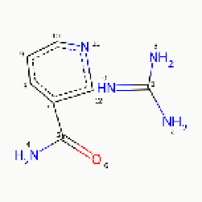 N=C(N)N.NC(=O)c1cccnc1